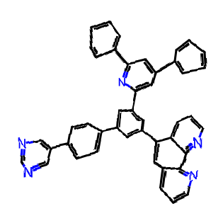 c1ccc(-c2cc(-c3ccccc3)nc(-c3cc(-c4ccc(-c5cncnc5)cc4)cc(-c4cc5cccnc5c5ncccc45)c3)c2)cc1